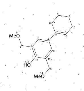 COCc1cc(C2=CCCCC2)cc(COC)c1O